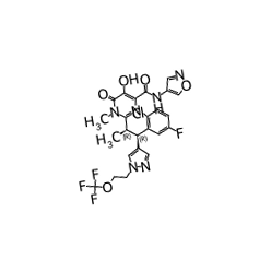 C[C@@H](c1nc(C(=O)Nc2cnoc2)c(O)c(=O)n1C)[C@H](c1cnn(CCOC(F)(F)F)c1)c1cc(F)ccc1Cl